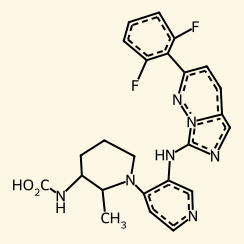 CC1C(NC(=O)O)CCCN1c1ccncc1Nc1ncc2ccc(-c3c(F)cccc3F)nn12